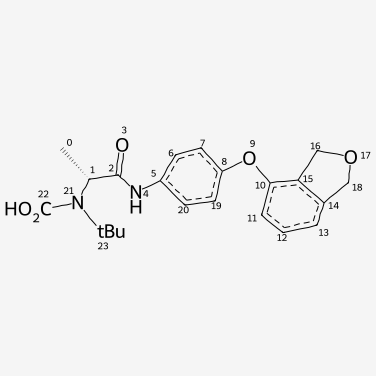 C[C@H](C(=O)Nc1ccc(Oc2cccc3c2COC3)cc1)N(C(=O)O)C(C)(C)C